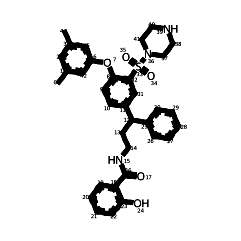 Cc1cc(C)cc(Oc2ccc(C(CCNC(=O)c3ccccc3O)c3ccccc3)cc2S(=O)(=O)N2CCNCC2)c1